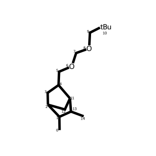 CC1C2CC(COCOCC(C)(C)C)C(C2)C1C